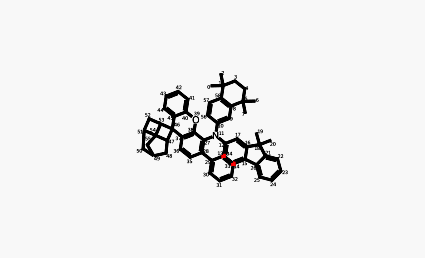 CC1(C)CCC(C)(C)c2cc(N(c3ccc4c(c3)C(C)(C)c3ccccc3-4)c3c(-c4ccccc4)ccc4c3Oc3ccccc3C43C4CC5CC6CC3C64C5)ccc21